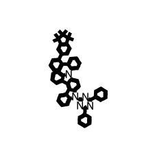 CC1(C)c2ccc(-c3ccccc3-c3ccccc3-n3c4ccccc4c4c5c6ccccc6n(-c6nc(-c7ccccc7)nc(-c7ccccc7)n6)c5ccc43)cc2C(C)(C)C1(C)C